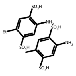 CCc1cc(S(=O)(=O)O)c(N)cc1S(=O)(=O)O.Cc1cc(S(=O)(=O)O)c(N)cc1S(=O)(=O)O